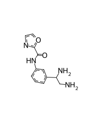 NCC(N)c1cccc(NC(=O)c2ncco2)c1